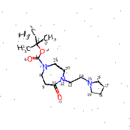 CC(C)(C)OC(=O)N1CCC(=O)N(CCN2CCCC2)CC1